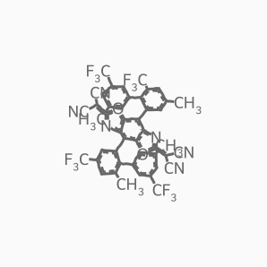 Cc1cc(-c2c(C)cc(C(F)(F)F)cc2-c2c3nc(=C(C#N)C#N)oc3c(-c3cc(C)cc(C(F)(F)F)c3-c3cc(C)cc(C(F)(F)F)c3)c3nc(=C(C#N)C#N)oc23)cc(C(F)(F)F)c1